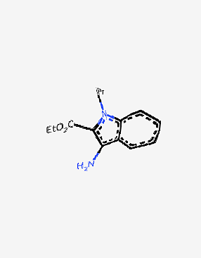 CCOC(=O)c1c(N)c2ccccc2n1C(C)C